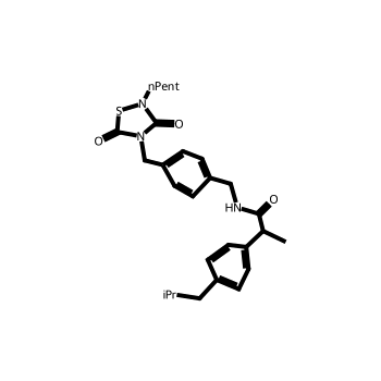 CCCCCn1sc(=O)n(Cc2ccc(CNC(=O)C(C)c3ccc(CC(C)C)cc3)cc2)c1=O